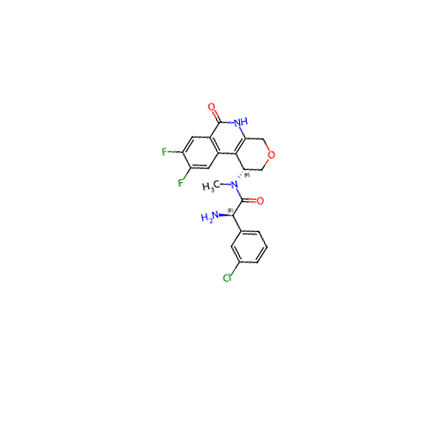 CN(C(=O)[C@H](N)c1cccc(Cl)c1)[C@H]1COCc2[nH]c(=O)c3cc(F)c(F)cc3c21